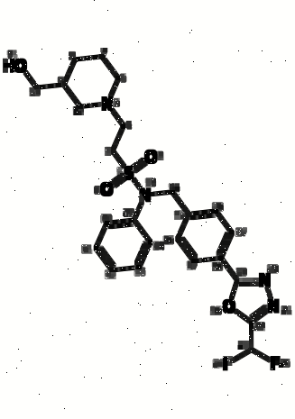 O=S(=O)(CCN1CCCC(CO)C1)N(Cc1ccc(-c2nnc(C(F)F)o2)cc1)c1ccccc1